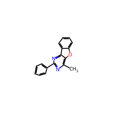 Cc1nc(-c2ccccc2)nc2c1oc1ccccc12